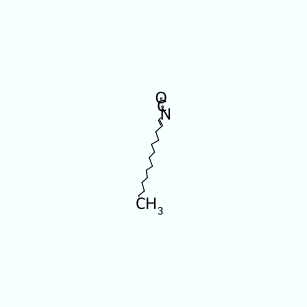 CCCCCCCCCCCCC=CN=C=O